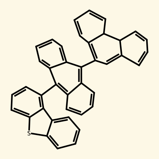 C1=CC2=CC(c3c4ccccc4c(-c4cccc5sc6ccccc6c45)c4ccccc34)=C3C=CC=CC3C2C=C1